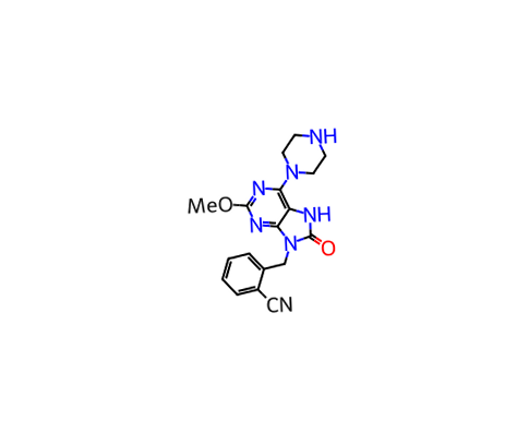 COc1nc(N2CCNCC2)c2[nH]c(=O)n(Cc3ccccc3C#N)c2n1